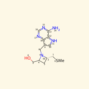 CSC[C@@H]1CC(CO)N1Cc1c[nH]c2c(N)ncnc12